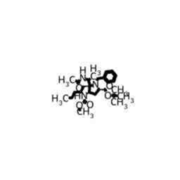 CCCCC[C@]1(C(C)NC(C)=O)[C@H](NC(=O)OC)C[C@H](C(=O)OC(C)(C)C)N1Cc1ccccc1